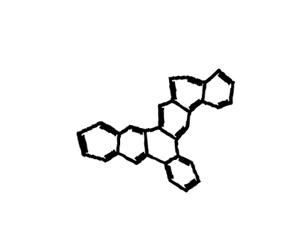 c1ccc2cc3c(cc2c1)c1ccccc1c1cc2c(ccc4ccccc42)cc31